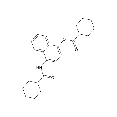 O=C(Nc1ccc(OC(=O)C2CCCCC2)c2ccccc12)C1CCCCC1